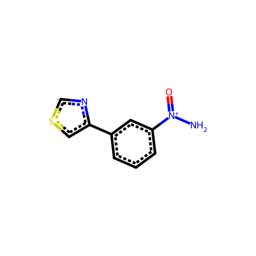 N[N+](=O)c1cccc(-c2cs[c]n2)c1